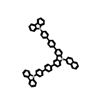 c1ccc2cc(-n3c4ccc(-c5ccc(-c6ccc(-n7c8ccccc8c8ccccc87)cc6)cc5)cc4c4cc(-c5ccc(-c6ccc(-n7c8ccccc8c8ccccc87)cc6)cc5)ccc43)ccc2c1